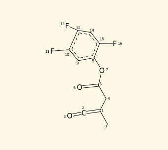 CC(=C=O)CC(=O)Oc1cc(F)c(F)cc1F